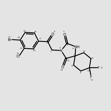 O=C(CN1C(=O)NC2(CCC(F)(F)CC2)C1=O)c1ccc(Br)c(Cl)c1